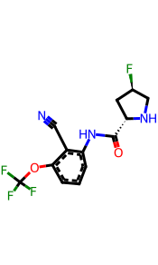 N#Cc1c(NC(=O)[C@@H]2C[C@@H](F)CN2)cccc1OC(F)(F)F